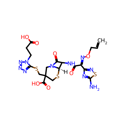 C=CCON=C(C(=O)NC1C(=O)N2CC(CSc3nnnn3CCC(=O)O)(C(=O)O)CS[C@H]12)c1nsc(N)n1